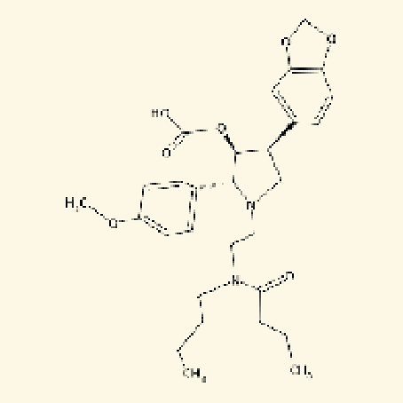 CCCCN(CCN1C[C@H](c2ccc3c(c2)OCO3)[C@H](OC(=O)O)[C@H]1c1ccc(OC)cc1)C(=O)CCC